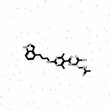 CC(=O)NC[C@H](NC(=O)c1c(C)nc(NCCCc2cccc3[nH]ncc23)nc1C)C(=O)O